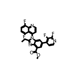 CCc1nc2c(C(=O)OC)cc(-c3ccnc(F)c3F)cc2n1-c1ccnc2c(F)ccc(F)c12